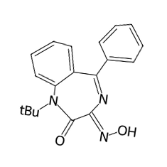 CC(C)(C)n1c(=O)c(=NO)nc(-c2ccccc2)c2ccccc21